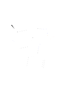 C[C@H]1C[C@]2(CCN1)CN(C)S(=O)(=O)N2c1cccc(F)c1